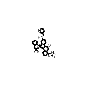 CC1(C)CC=CC2=C1CC(=O)c1c2ccc2cc(NCc3cccnc3)ccc12.N#Cc1cnc2ccccc2c1